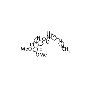 COc1cc(OC)c(Cl)c(-c2ccc(OC(=O)Nc3ccc(CN4CCN(C)CC4)cn3)c3nccnc23)c1F